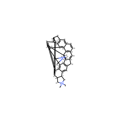 C[N+]1(C)CC2c3cc4c5c6c3-c3c(cc7c8c3c-6c3c6c9c%10c(ccc9cc(c86)C7)C=C(C4)C54C[N+](C)(C)CC%1034)C2C1